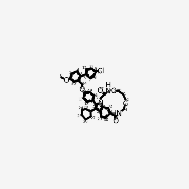 COc1ccc(-c2ccc(Cl)cc2)c(COc2ccc(-c3c(C4CCCCC4)c4ccc5cc4n3CC(=O)NCCCCCCNC5=O)cc2)c1